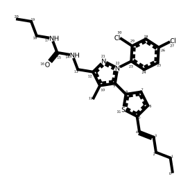 CCC/C=C/c1ccc(-c2c(C)c(CNC(=O)NCCC)nn2-c2ccc(Cl)cc2Cl)s1